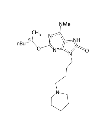 CCCC[C@H](C)Oc1nc(NC)c2[nH]c(=O)n(CCCCN3CCCCC3)c2n1